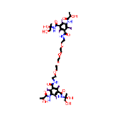 CC(O)C(=O)Nc1c(I)c(C(=O)NCCOCCOCCOCCOCCNC(=O)c2c(I)c(NC(=O)C(C)O)c(I)c(C(=O)NC(C)(O)CO)c2I)c(I)c(C(=O)NC(C)(O)CO)c1I